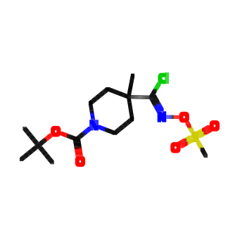 CC(C)(C)OC(=O)N1CCC(C)(C(Cl)=NOS(C)(=O)=O)CC1